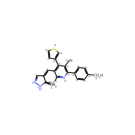 C=c1[nH]nc/c1=C/c1c(C)nc(-c2ccc(C(=O)O)cc2)c(C(C)C)c1-c1ccsc1